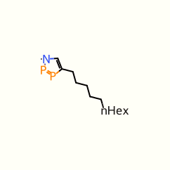 CCCCCCCCCCCC1=C[N]P=P1